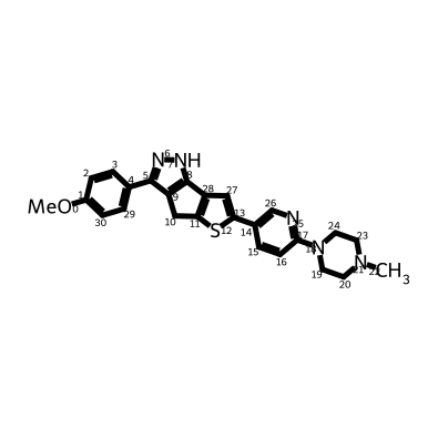 COc1ccc(-c2n[nH]c3c2Cc2sc(-c4ccc(N5CCN(C)CC5)nc4)cc2-3)cc1